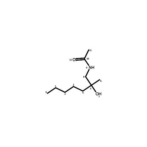 CCCCCC(C)(O)CNC(C)=O